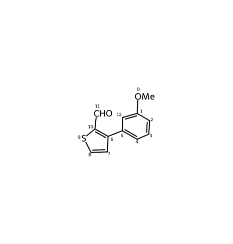 COc1cccc(-c2ccsc2C=O)c1